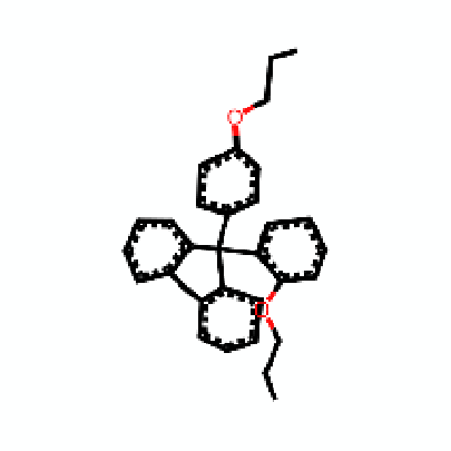 CCCOc1ccc(C2(c3ccccc3OCCC)c3ccccc3-c3ccccc32)cc1